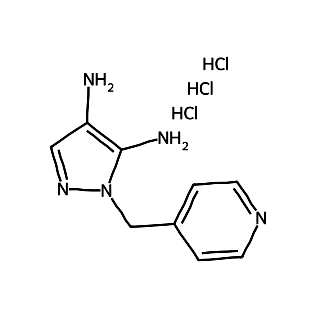 Cl.Cl.Cl.Nc1cnn(Cc2ccncc2)c1N